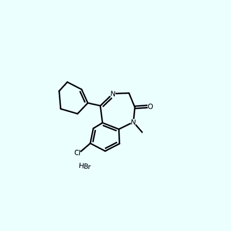 Br.CN1C(=O)CN=C(C2=CCCCC2)c2cc(Cl)ccc21